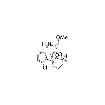 COC[C@H](N)C1=N[C@@]2(c3ccccc3Cl)CCC[C@@H](O1)C2=O